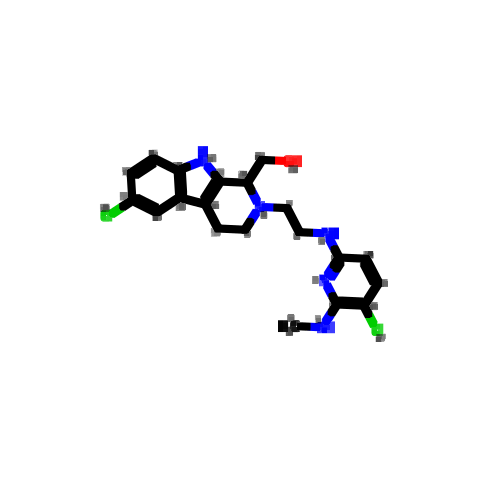 CNc1nc(NCCN2CCc3c([nH]c4ccc(Cl)cc34)C2CO)ccc1Cl